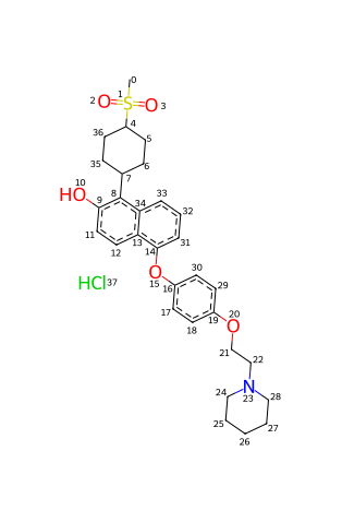 CS(=O)(=O)C1CCC(c2c(O)ccc3c(Oc4ccc(OCCN5CCCCC5)cc4)cccc23)CC1.Cl